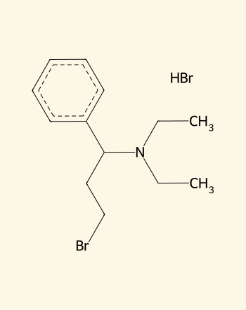 Br.CCN(CC)C(CCBr)c1ccccc1